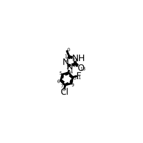 Cc1nn(-c2ccc(Cl)cc2F)c(=O)[nH]1